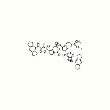 CN(C)C1CCn2c(CC3(C)Cc4c(S(=O)(=O)NC(=O)Nc5c6c(cc7c5CCC7)CCC6)ccn4C(=O)O3)cc(S(=O)(=O)NC(=O)Nc3c4c(cc5c3CCC5)CCC4)c2C1